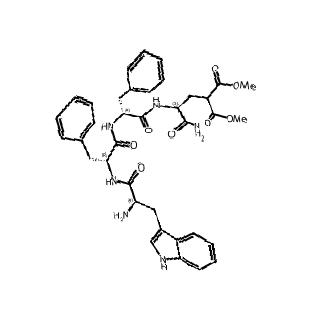 COC(=O)C(C[C@H](NC(=O)[C@@H](Cc1ccccc1)NC(=O)[C@@H](Cc1ccccc1)NC(=O)[C@H](N)Cc1c[nH]c2ccccc12)C(N)=O)C(=O)OC